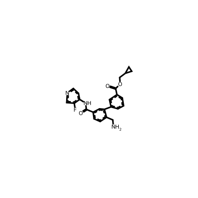 NCc1ccc(C(=O)Nc2ccncc2F)cc1-c1cccc(C(=O)OCC2CC2)c1